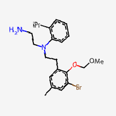 COCOc1c(Br)cc(C)cc1CCN(CCN)c1ccccc1C(C)C